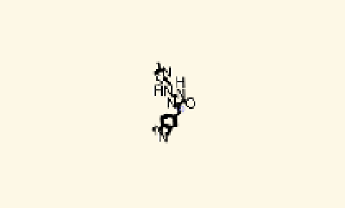 Cc1csc(CNC2=N/C(=C\c3ccc4c(cnn4C)c3)C(=O)N2)n1